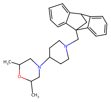 CC1CN(C2CCN(CC34CC(c5ccccc53)c3ccccc34)CC2)CC(C)O1